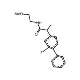 COCCNC(=O)C(C)c1ccc(-c2ccccc2)c(F)c1